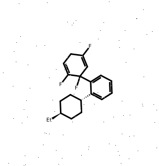 CC[C@H]1CC[C@H](c2ccccc2C2(F)C=C(F)CC=C2F)CC1